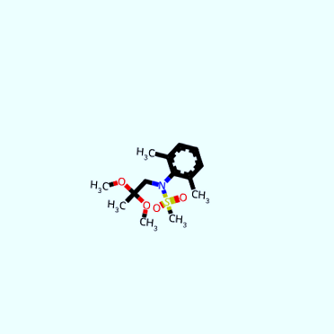 COC(C)(CN(c1c(C)cccc1C)S(C)(=O)=O)OC